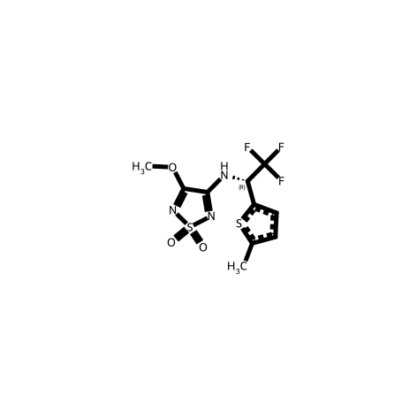 COC1=NS(=O)(=O)N=C1N[C@@H](c1ccc(C)s1)C(F)(F)F